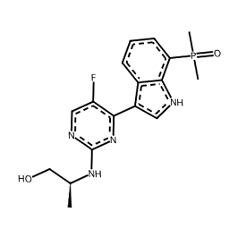 C[C@@H](CO)Nc1ncc(F)c(-c2c[nH]c3c(P(C)(C)=O)cccc23)n1